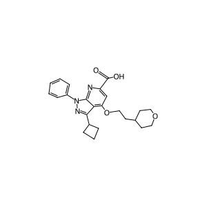 O=C(O)c1cc(OCCC2CCOCC2)c2c(C3CCC3)nn(-c3ccccc3)c2n1